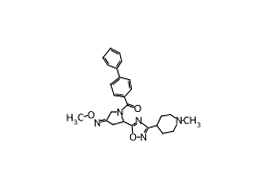 CON=C1CC(c2nc(C3CCN(C)CC3)no2)N(C(=O)c2ccc(-c3ccccc3)cc2)C1